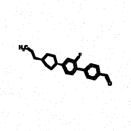 CCC[C@H]1CC[C@H](c2ccc(-c3ccc(C=O)cc3)c(F)c2)CC1